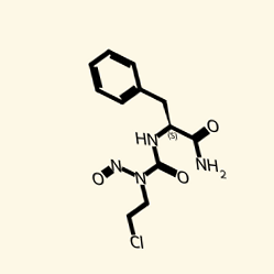 NC(=O)[C@H](Cc1ccccc1)NC(=O)N(CCCl)N=O